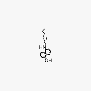 CCCCOCCNc1cccc2c(O)cccc12